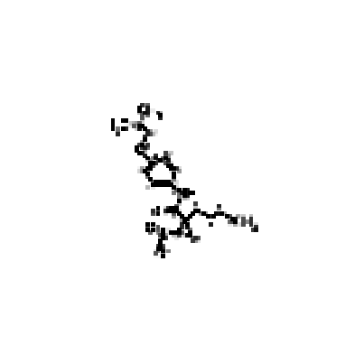 CCCCC1(C(=O)Nc2ccc(OCC(C)C)cc2)CC1[N+](=O)[O-]